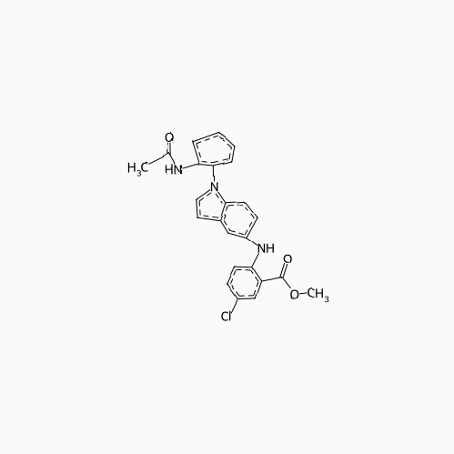 COC(=O)c1cc(Cl)ccc1Nc1ccc2c(ccn2-c2ccccc2NC(C)=O)c1